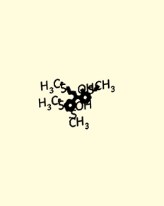 CCSCCCC(c1cccc(SCC)c1O)c1cc(SCC)cc(SCC)c1O